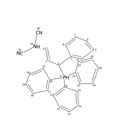 C=CC(c1ccccc1)[PH](c1ccccc1)(c1ccccc1)c1ccccc1.N#CNC#N